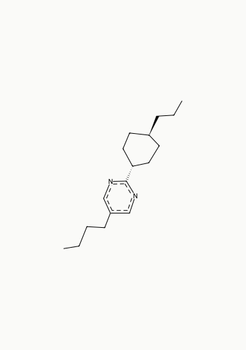 CCCCc1cnc([C@H]2CC[C@H](CCC)CC2)nc1